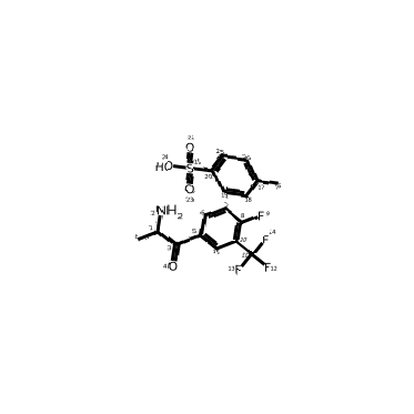 CC(N)C(=O)c1ccc(F)c(C(F)(F)F)c1.Cc1ccc(S(=O)(=O)O)cc1